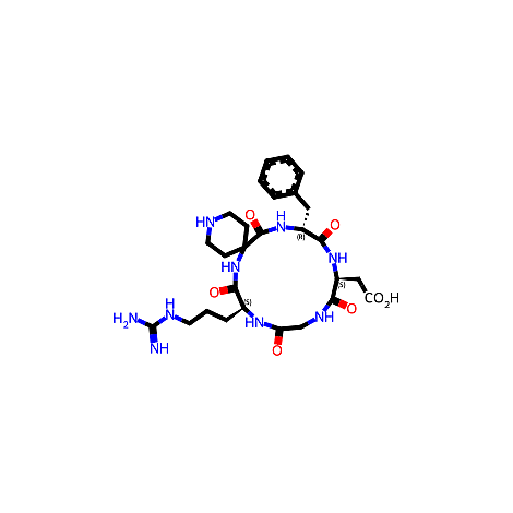 N=C(N)NCCC[C@@H]1NC(=O)CNC(=O)[C@H](CC(=O)O)NC(=O)[C@@H](Cc2ccccc2)NC(=O)C2(CCNCC2)NC1=O